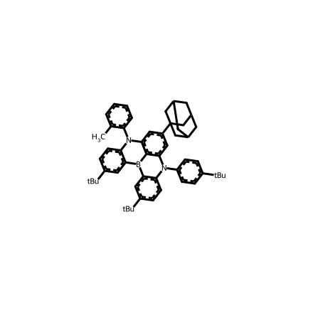 Cc1ccccc1N1c2ccc(C(C)(C)C)cc2B2c3cc(C(C)(C)C)ccc3N(c3ccc(C(C)(C)C)cc3)c3cc(C45CC6CC(CC(C6)C4)C5)cc1c32